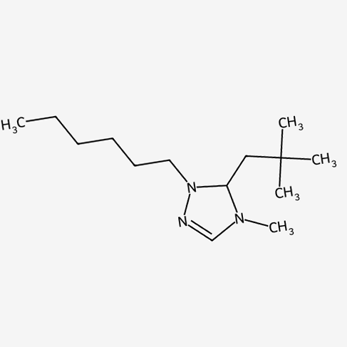 CCCCCCN1N=CN(C)C1CC(C)(C)C